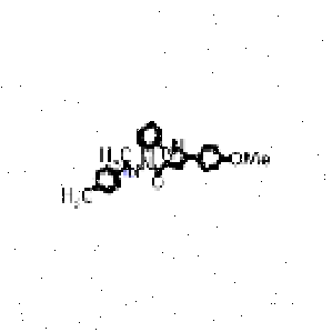 COc1ccc(-c2cc(C(=O)N/N=C(\C)c3ccc(C)cc3)n(-c3ccccc3)n2)cc1